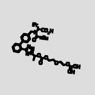 CCCCC(=O)N(Cc1ccc(-c2ccccc2-c2nnn(C(C)OC(=O)OCCOCCON(O)O)n2)cc1)[C@H](C(=O)O)C(C)C